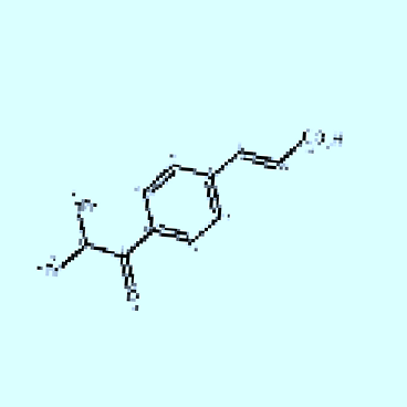 CCCC(CCC)C(=O)c1ccc(C=CC(=O)O)cc1